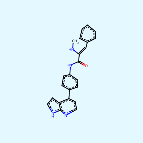 CNC(=Cc1ccccc1)C(=O)Nc1ccc(-c2ccnc3[nH]ccc23)cc1